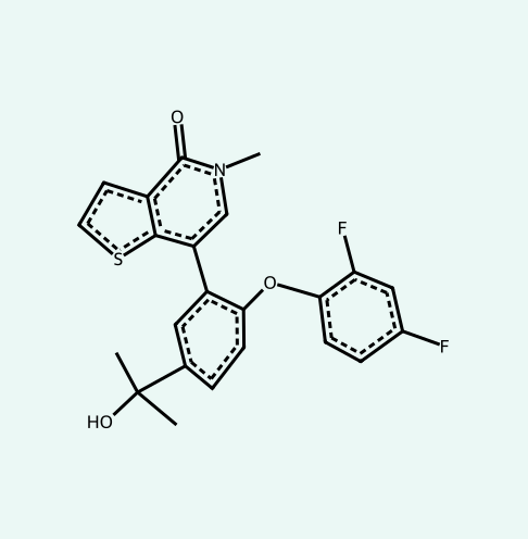 Cn1cc(-c2cc(C(C)(C)O)ccc2Oc2ccc(F)cc2F)c2sccc2c1=O